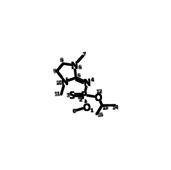 CO[P@](=S)(N=C1N(C)CCN1C)OC(C)C